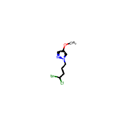 COc1cnn(CCCC(Cl)Br)c1